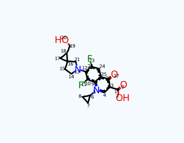 O=C(O)c1cn(C2CC2)c2c(F)c(N3CCC4(CC4CO)C3)c(F)cc2c1=O